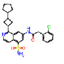 NS(=O)(=O)c1cc(NC(=O)Cc2ccccc2Cl)cc2c(C3CC(C4CCCC4)C3)nccc12